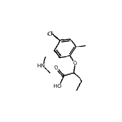 CCC(Oc1ccc(Cl)cc1C)C(=O)O.CNC